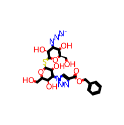 [N-]=[N+]=NC1C(O)[C@@H](CO)OC(S[C@@H]2OC(CO)[C@H](O)C(n3cc(C(=O)OCc4ccccc4)nn3)C2O)[C@@H]1O